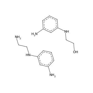 NCCNc1cccc(N)c1.Nc1cccc(NCCO)c1